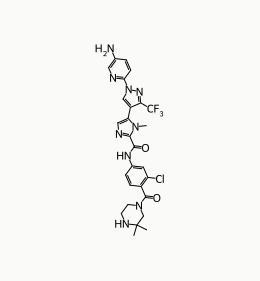 Cn1c(-c2cn(-c3ccc(N)cn3)nc2C(F)(F)F)cnc1C(=O)Nc1ccc(C(=O)N2CCNC(C)(C)C2)c(Cl)c1